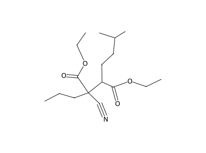 CCCC(C#N)(C(=O)OCC)C(CCC(C)C)C(=O)OCC